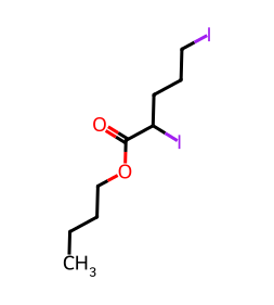 CCCCOC(=O)C(I)CCCI